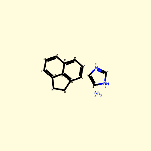 N.c1c[nH]cn1.c1cc2c3c(cccc3c1)CC2